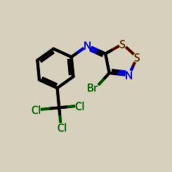 ClC(Cl)(Cl)c1cccc(N=c2ssnc2Br)c1